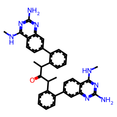 CNc1nc(N)nc2cc(-c3ccccc3C(C)C(=O)C(C)c3ccccc3-c3ccc4c(NC)nc(N)nc4c3)ccc12